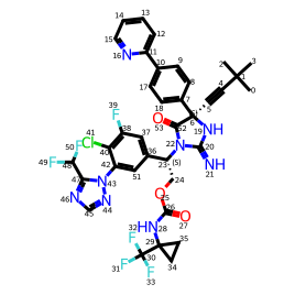 CC(C)(C)C#C[C@]1(c2ccc(-c3ccccn3)cc2)NC(=N)N([C@H](COC(=O)NC2(C(F)(F)F)CC2)c2cc(F)c(Cl)c(-n3ncnc3C(F)F)c2)C1=O